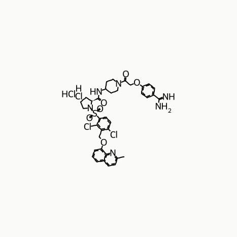 Cc1ccc2cccc(OCc3c(Cl)ccc(S(=O)(=O)N4CCC[C@H]4C(=O)NC4CCN(C(=O)COc5ccc(C(=N)N)cc5)CC4)c3Cl)c2n1.Cl.Cl